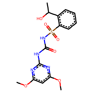 COc1cc(OC)nc(NC(=O)NS(=O)(=O)c2ccccc2C(C)O)n1